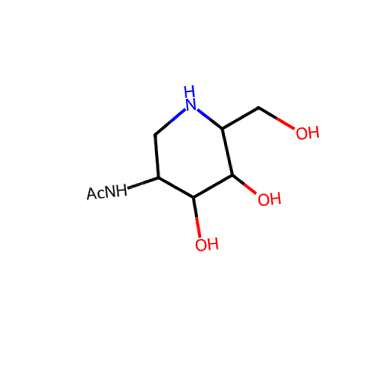 CC(=O)NC1CNC(CO)C(O)C1O